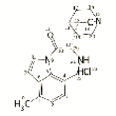 Cc1ccc2c3c1ccn3C(=O)[C@H](C1CN3CCC1CC3)NC2.Cl